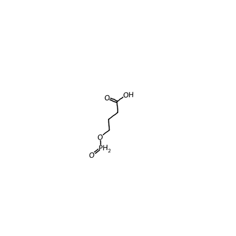 O=[PH2]OCCCC(=O)O